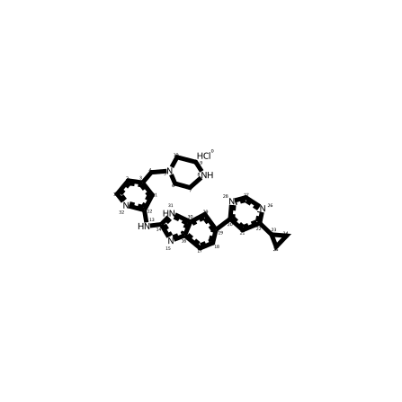 Cl.c1cc(CN2CCNCC2)cc(Nc2nc3ccc(-c4cc(C5CC5)ncn4)cc3[nH]2)n1